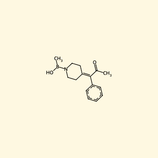 CB(O)N1CCC(=C(C(C)=O)c2ccccc2)CC1